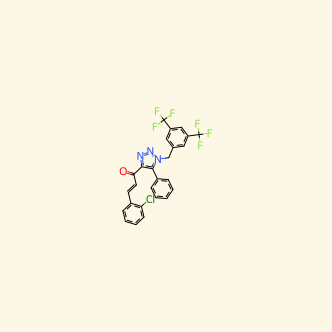 O=C(C=Cc1ccccc1Cl)c1nnn(Cc2cc(C(F)(F)F)cc(C(F)(F)F)c2)c1-c1ccccc1